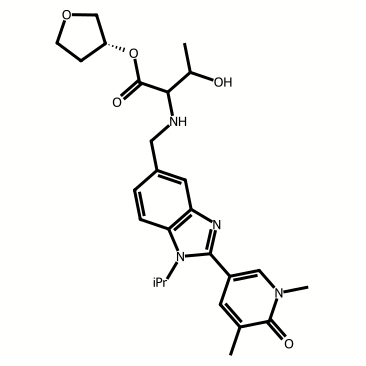 Cc1cc(-c2nc3cc(CNC(C(=O)O[C@@H]4CCOC4)C(C)O)ccc3n2C(C)C)cn(C)c1=O